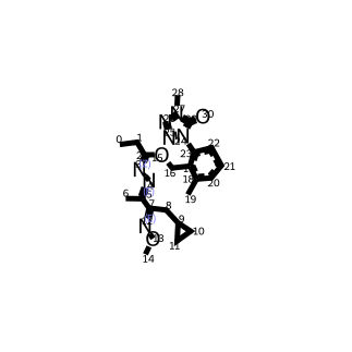 CC/C(=N/N=C(C)/C(CC1CC1)=N/OC)OCc1c(C)cccc1-n1nnn(C)c1=O